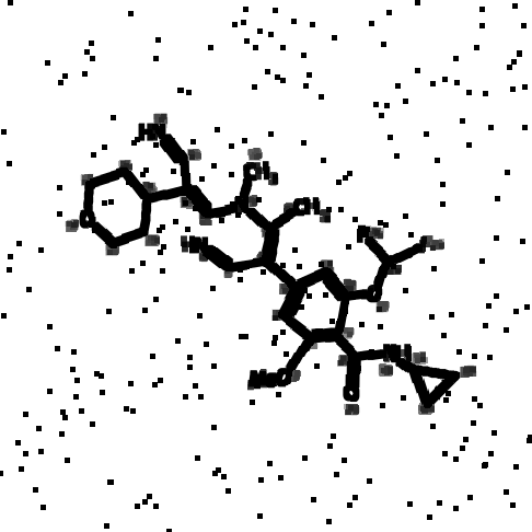 COc1cc(/C(C=N)=C(\C)N(C)/C=C(\C=N)C2CCOCC2)cc(OC(F)F)c1C(=O)NC1CC1